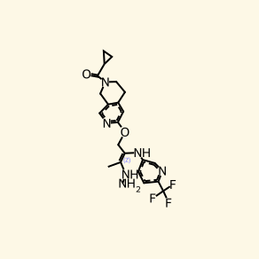 C/C(NN)=C(\COc1cc2c(cn1)CN(C(=O)C1CC1)CC2)Nc1ccc(C(F)(F)F)nc1